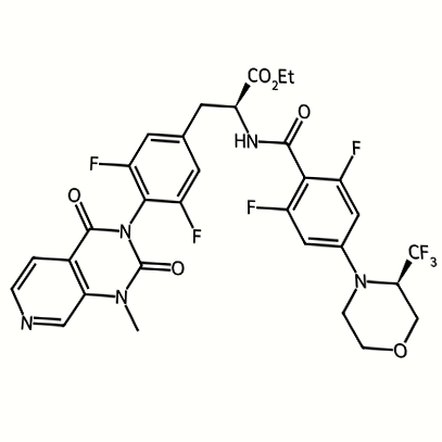 CCOC(=O)[C@H](Cc1cc(F)c(-n2c(=O)c3ccncc3n(C)c2=O)c(F)c1)NC(=O)c1c(F)cc(N2CCOC[C@@H]2C(F)(F)F)cc1F